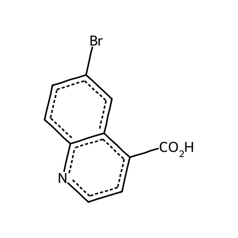 O=C(O)c1ccnc2ccc(Br)cc12